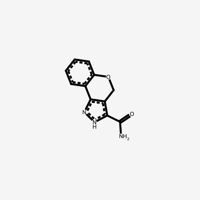 NC(=O)c1[nH]nc2c1COc1ccccc1-2